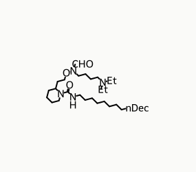 CCCCCCCCCCCCCCCCCCNC(=O)N1CCCCC1CCON(C=O)CCCCN(CC)CC